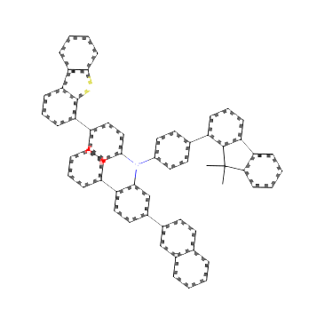 CC1(C)c2ccccc2-c2cccc(-c3ccc(N(c4ccc(-c5cccc6c5sc5ccccc56)cc4)c4cc(-c5ccc6ccccc6c5)ccc4-c4ccccc4)cc3)c21